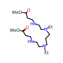 CCN(CCCN(CC)CCNCCC(=O)OC)CCNCCC(=O)OC